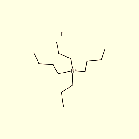 CCCC[N+](CCC)(CCC)CCCC.[I-]